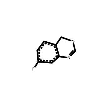 Fc1ccc2c(c1)N=C[N]C2